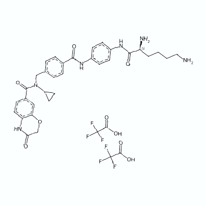 NCCCC[C@H](N)C(=O)Nc1ccc(NC(=O)c2ccc(CN(C(=O)c3ccc4c(c3)OCC(=O)N4)C3CC3)cc2)cc1.O=C(O)C(F)(F)F.O=C(O)C(F)(F)F